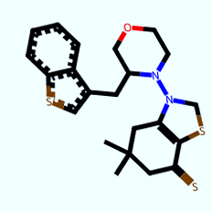 CC1(C)CC(=S)C2=C(C1)N(N1CCOCC1Cc1csc3ccccc13)CS2